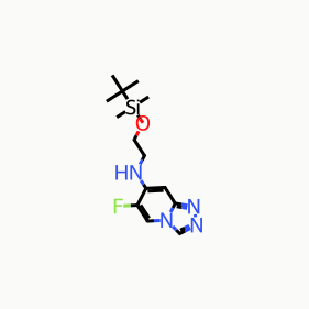 CC(C)(C)[Si](C)(C)OCCNc1cc2nncn2cc1F